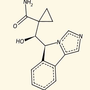 NC(=O)C1([C@H](O)[C@@H]2c3ccccc3-c3cncn32)CC1